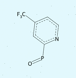 O=Pc1cc(C(F)(F)F)ccn1